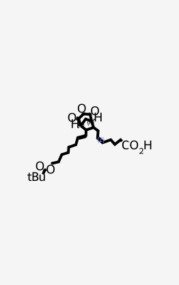 CC(C)(C)C(=O)OCCCCCCC=CC1C(C/C=C\CCCC(=O)O)[C@H]2C[C@H]1C(=O)C(=O)C2=O